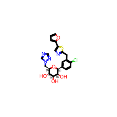 O[C@H]1[C@H](O)[C@@H](Cn2cncn2)O[C@@H](c2ccc(Cl)c(Cc3ncc(-c4ccco4)s3)c2)[C@H]1O